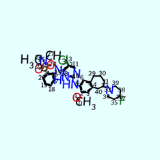 COc1cc2c(cc1Nc1ncc(Cl)c(Nc3ccccc3S(=O)(=O)N(C)C)n1)CCCC(N1CCC(F)CC1)C2